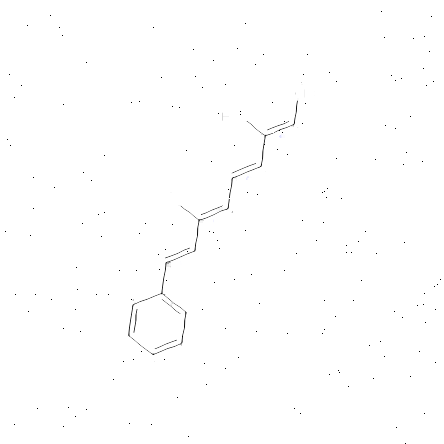 CC(/C=C/C=C(C)/C=C/c1ccccc1)=C\C=O